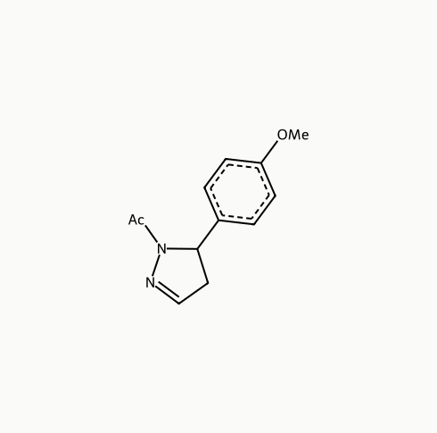 COc1ccc(C2CC=NN2C(C)=O)cc1